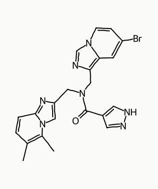 Cc1ccc2nc(CN(Cc3ncn4ccc(Br)cc34)C(=O)c3cn[nH]c3)cn2c1C